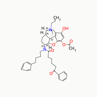 C=CCN1CC[C@]23c4c5c(O)cc(OC(C)=O)c4O[C@H]2[C@@H](N(CCCCc2ccccc2)C(=O)CCCCC(=O)c2ccccc2)CC[C@H]3[C@H]1C5